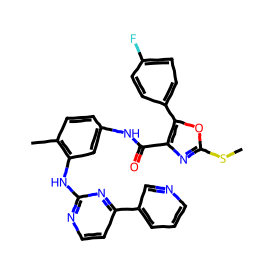 CSc1nc(C(=O)Nc2ccc(C)c(Nc3nccc(-c4cccnc4)n3)c2)c(-c2ccc(F)cc2)o1